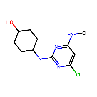 CNc1cc(Cl)nc(NC2CCC(O)CC2)n1